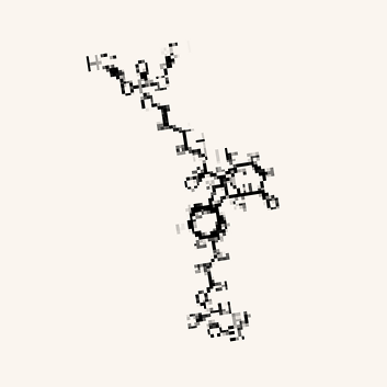 C#COP(=O)(OC#C)OCCCCNC(=O)C1C(C(=O)OCCCCOP(=O)(OCC)OCC)[C@@H]2C(=O)C=C[C@H]1N2Cc1ccccc1